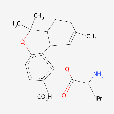 CC1=CC2c3c(ccc(C(=O)O)c3OC(=O)C(N)C(C)C)OC(C)(C)C2CC1